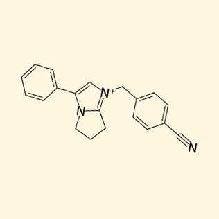 N#Cc1ccc(C[n+]2cc(-c3ccccc3)n3c2CCC3)cc1